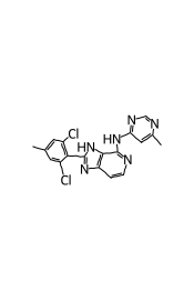 Cc1cc(Cl)c(-c2nc3ccnc(Nc4cc(C)ncn4)c3[nH]2)c(Cl)c1